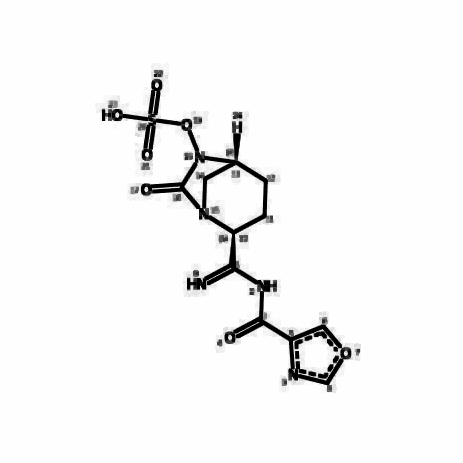 N=C(NC(=O)c1cocn1)[C@@H]1CC[C@@H]2CN1C(=O)N2OS(=O)(=O)O